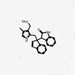 Cc1c[nH]c(CC2(C3C(=O)Nc4ccccc43)C=Cc3ccccc32)c1CC=O